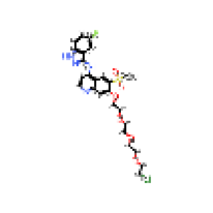 CC(C)(C)S(=O)(=O)c1cc2c(Nc3n[nH]c4ccc(F)cc34)ccnc2cc1OCCOCCOCCOCCCl